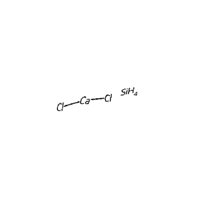 [Cl][Ca][Cl].[SiH4]